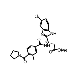 COC(=O)C[C@H](NC(=O)c1ccc(C(=O)N2CCCC2)c(C)c1)c1nc2cc(Cl)ccc2[nH]1